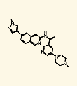 C=C(Nc1cc2cc(-c3cnn(C)c3)ccc2cn1)c1cnnc(N2CCN(C)CC2)c1